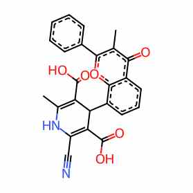 CC1=C(C(=O)O)C(c2cccc3c(=O)c(C)c(-c4ccccc4)oc23)C(C(=O)O)=C(C#N)N1